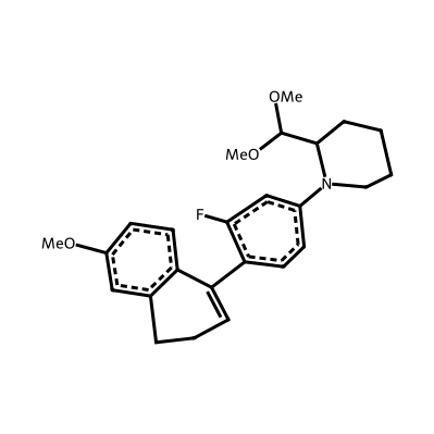 COc1ccc2c(c1)CCC=C2c1ccc(N2CCCCC2C(OC)OC)cc1F